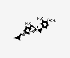 COc1ccc([C@@H]2C[C@H]2C(=O)N[C@H](C)c2ccc(OCC3CC3)cn2)cc1C